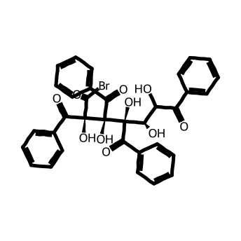 O=C(c1ccccc1)C(O)[C@@H](O)[C@](O)(C(=O)c1ccccc1)[C@@](O)(C(=O)c1ccccc1)[C@@](O)(C(=O)Br)C(=O)c1ccccc1